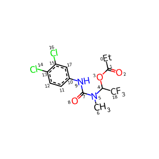 CCC(=O)OC(N(C)C(=O)Nc1ccc(Cl)c(Cl)c1)C(F)(F)F